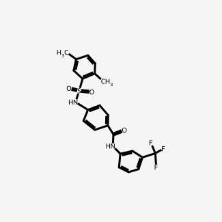 Cc1ccc(C)c(S(=O)(=O)Nc2ccc(C(=O)Nc3cccc(C(F)(F)F)c3)cc2)c1